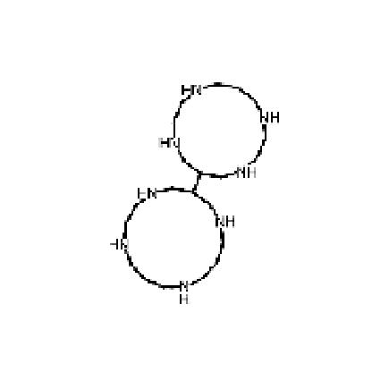 C1CNCCCNCC(C2CNCCNCCCNCCNC2)CNCCNC1